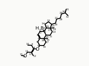 BC12CC=C3CC(O/C(CC)=C(\C)COC)CCC3(C)C1CCC1(C)C(CCCCC(C)C)CCC21